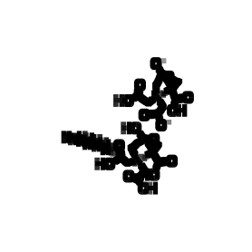 N.N.O=C(O)C[N+](CC(=O)O)(CC(=O)O)C1(C(=O)O)CC1.O=C([O-])C[N+](CC(=O)[O-])(CC(=O)O)C1(C(=O)O)CC1.[NaH].[NaH].[NaH].[NaH]